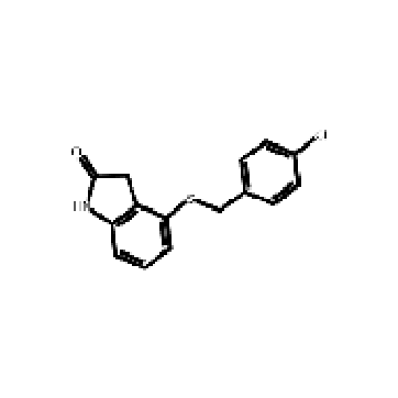 O=C1Cc2c(cccc2SCc2ccc(Cl)cc2)N1